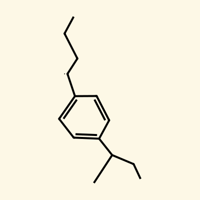 CCC[CH]c1ccc(C(C)CC)cc1